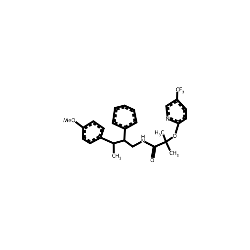 COc1ccc(C(C)C(CNC(=O)C(C)(C)Oc2ccc(C(F)(F)F)cn2)c2ccccc2)cc1